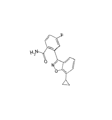 NC(=O)c1ccc(F)cc1-c1noc2c(C3CC3)cccc12